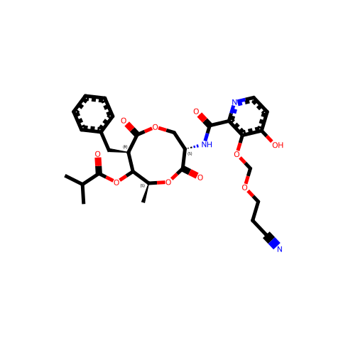 CC(C)C(=O)OC1[C@H](C)OC(=O)[C@@H](NC(=O)c2nccc(O)c2OCOCCC#N)COC(=O)[C@@H]1Cc1ccccc1